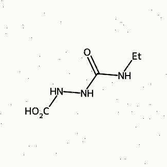 CCNC(=O)NNC(=O)O